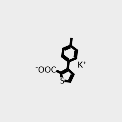 Cc1ccc(-c2ccsc2C(=O)[O-])cc1.[K+]